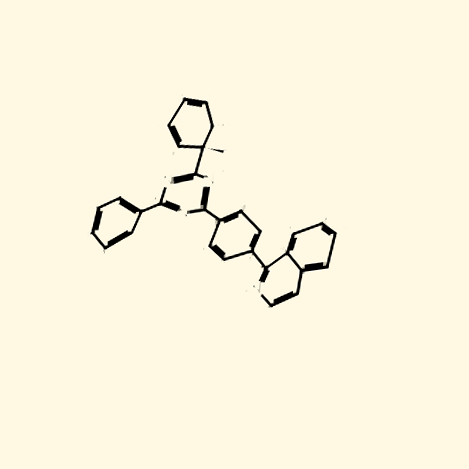 C[C@@]1(c2nc(-c3ccccc3)nc(-c3ccc(-c4nccc5ccccc45)cc3)n2)C=CC=CC1